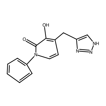 O=c1c(O)c(Cc2c[nH]nn2)ccn1-c1ccccc1